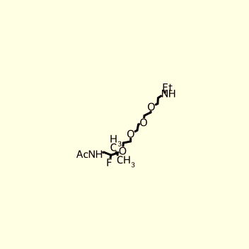 CCNCCOCCOCCOCCOC(C)(C)C(F)CNC(C)=O